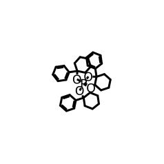 O=P(OC1(c2ccccc2)CCCCC1)(OC1(c2ccccc2)CCCCC1)OC1(c2ccccc2)CCCCC1